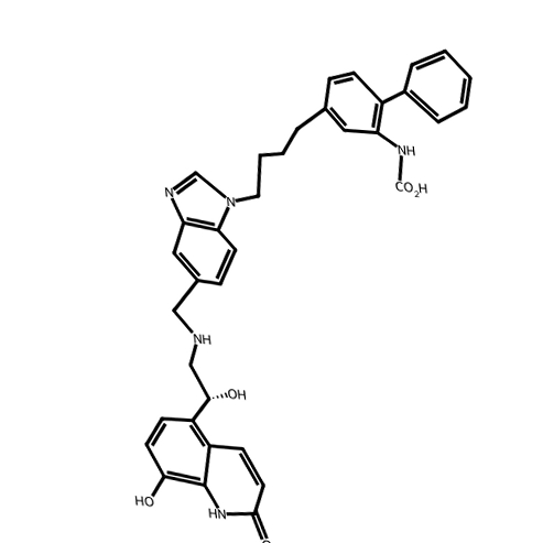 O=C(O)Nc1cc(CCCCn2cnc3cc(CNC[C@H](O)c4ccc(O)c5[nH]c(=O)ccc45)ccc32)ccc1-c1ccccc1